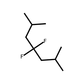 CC(C)CC(F)(F)CC(C)C